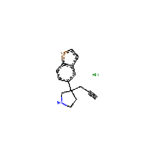 C#CCC1(c2ccc3sccc3c2)CCNC1.Cl